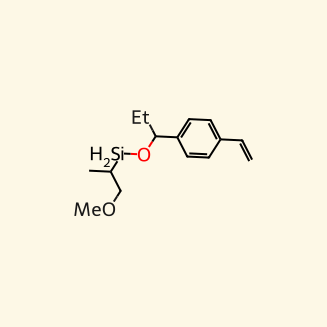 C=Cc1ccc(C(CC)O[SiH2]C(C)COC)cc1